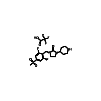 CS(=O)(=O)c1cc(F)c(CN2CCN(C3CCNCC3)C2=O)c(F)c1.O=C(O)C(F)(F)F